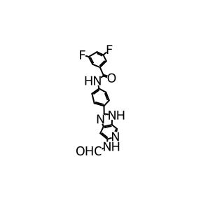 O=CNc1cc2nc(-c3ccc(NC(=O)c4cc(F)cc(F)c4)cc3)[nH]c2cn1